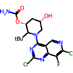 CC(C)(C)C1[C@H](OC(N)=O)C[C@H](O)CN1c1nc(Cl)nc2c(F)c(Cl)ncc12